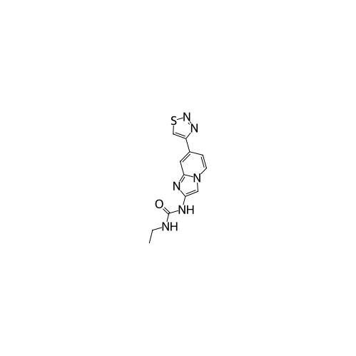 CCNC(=O)Nc1cn2ccc(-c3csnn3)cc2n1